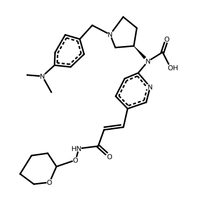 CN(C)c1ccc(CN2CC[C@@H](N(C(=O)O)c3ccc(C=CC(=O)NOC4CCCCO4)cn3)C2)cc1